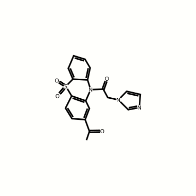 CC(=O)c1ccc2c(c1)N(C(=O)Cn1ccnc1)c1ccccc1S2(=O)=O